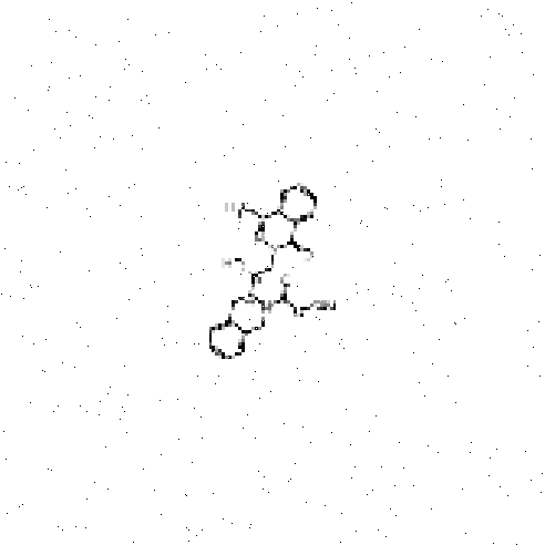 Cc1nn(C[C@@H](O)[C@@H]2Cc3ccccc3CN2C(=O)OC(C)(C)C)c(=O)c2ccccc12